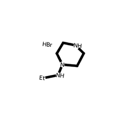 Br.CCNN1CCNCC1